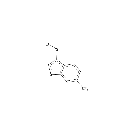 CCSc1csc2cc(C(F)(F)F)ccc12